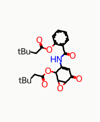 CC(C)(C)CC(=O)Oc1ccccc1C(=O)NC1=CC(=O)C2OC2C1OC(=O)CC(C)(C)C